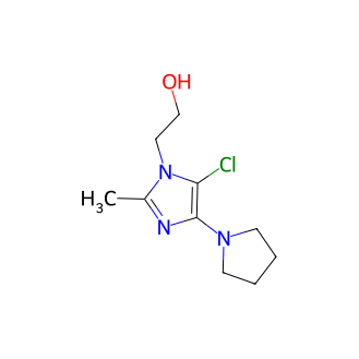 Cc1nc(N2CCCC2)c(Cl)n1CCO